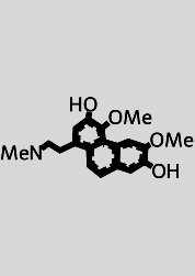 CNCCc1cc(O)c(OC)c2c1ccc1cc(O)c(OC)cc12